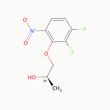 C[C@@H](O)COc1c([N+](=O)[O-])ccc(F)c1F